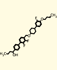 C=CCCOc1ccc(C2CCC(OCc3ccc(-c4ccc(C(O)CCC)cc4)c(F)c3F)CC2)cc1F